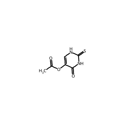 CC(=O)Oc1c[nH]c(=S)[nH]c1=O